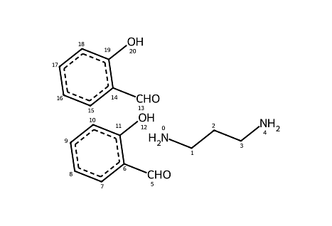 NCCCN.O=Cc1ccccc1O.O=Cc1ccccc1O